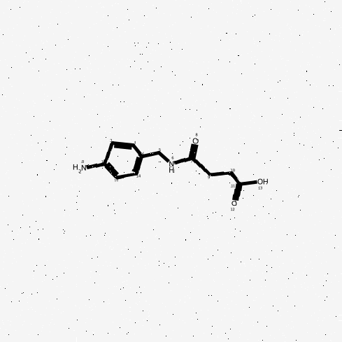 Nc1ccc(CNC(=O)CCC(=O)O)cc1